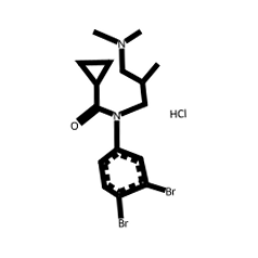 CC(CN(C)C)CN(C(=O)C1CC1)c1ccc(Br)c(Br)c1.Cl